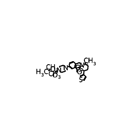 C[C@H]1CCC(c2ccsc2)S(=O)(=O)N1Cc1ccc(N2CCN(C(=O)OC(C)(C)C)CC2)cc1F